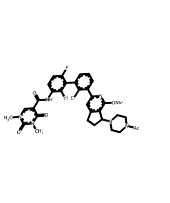 COc1nc(-c2cccc(-c3c(F)ccc(NC(=O)c4cn(C)c(=O)n(C)c4=O)c3Cl)c2Cl)cc2c1C(N1CCN(C(C)=O)CC1)CC2